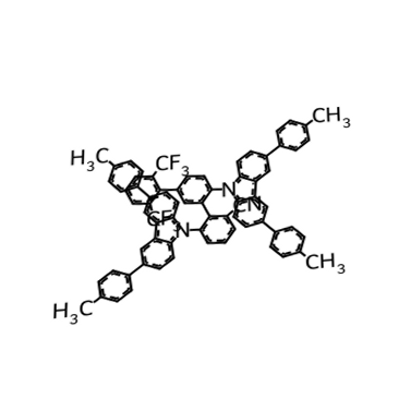 Cc1ccc(-c2ccc3c(c2)c2cc(-c4ccc(C)cc4)ccc2n3-c2ccc(-c3c(C(F)(F)F)cccc3C(F)(F)F)cc2-c2c(C#N)cccc2-n2c3ccc(-c4ccc(C)cc4)cc3c3cc(-c4ccc(C)cc4)ccc32)cc1